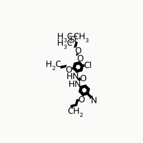 C=CCCOc1cc(NC(=O)Nc2cc(Cl)c(OCOCC[Si](C)(C)C)cc2OCC=C)ccc1C#N